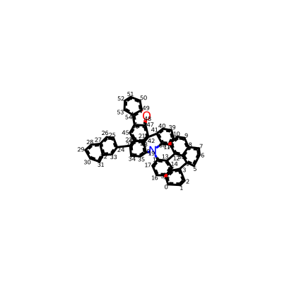 c1ccc(-c2cccc3cccc(-c4ccccc4N(c4ccc(-c5ccc6ccccc6c5)cc4)c4ccccc4-c4cccc5c4oc4ccccc45)c23)cc1